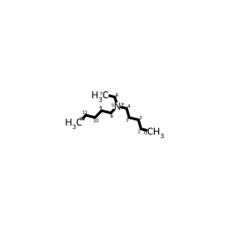 CCCCC[N+](CC)CCCCC